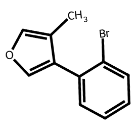 Cc1cocc1-c1ccccc1Br